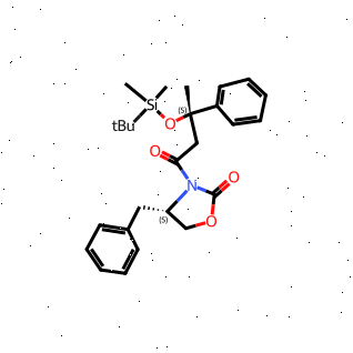 CC(C)(C)[Si](C)(C)O[C@@](C)(CC(=O)N1C(=O)OC[C@@H]1Cc1ccccc1)c1ccccc1